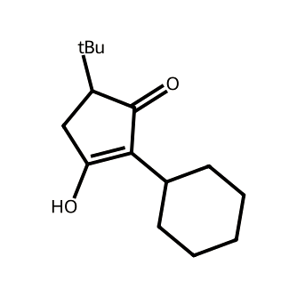 CC(C)(C)C1CC(O)=C(C2CCCCC2)C1=O